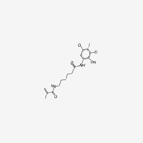 C=C(C)C(=O)NCCCCCC(=O)Nc1cc(Cl)c(C)c(Cl)c1O